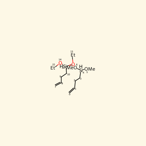 C=CCC[SiH](OC)OC.C=CCC[SiH](OCC)OCC